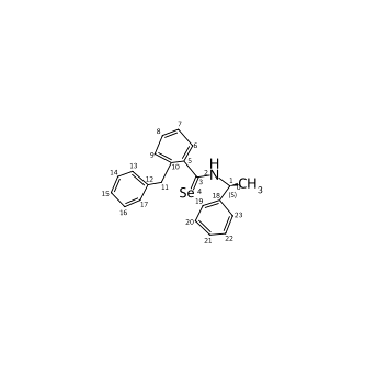 C[C@H](NC(=[Se])c1ccccc1Cc1ccccc1)c1ccccc1